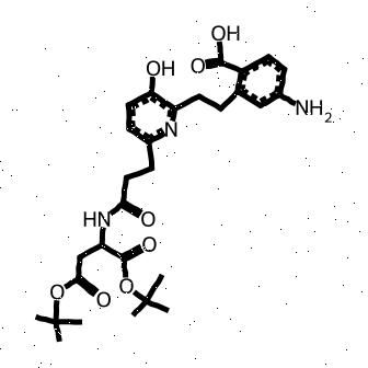 CC(C)(C)OC(=O)CC(NC(=O)CCc1ccc(O)c(CCc2cc(N)ccc2C(=O)O)n1)C(=O)OC(C)(C)C